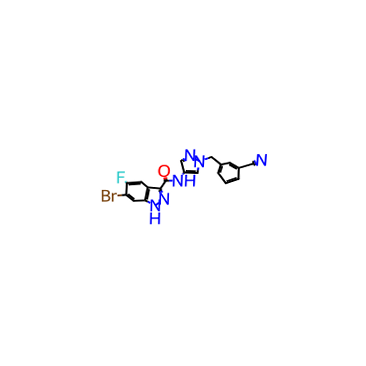 N#Cc1cccc(Cn2cc(NC(=O)c3n[nH]c4cc(Br)c(F)cc34)cn2)c1